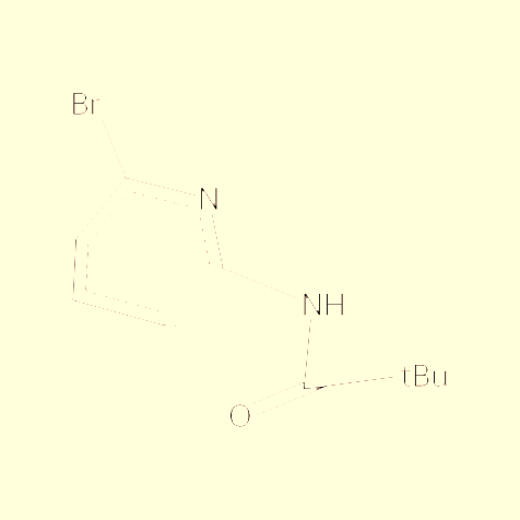 CC(C)(C)C(=O)Nc1[c]ccc(Br)n1